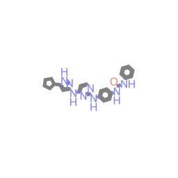 O=C(Nc1ccccc1)Nc1ccc(Nc2nccc(Nc3cc(C4CCCC4)[nH]n3)n2)cc1